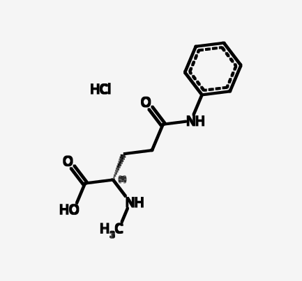 CN[C@@H](CCC(=O)Nc1ccccc1)C(=O)O.Cl